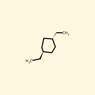 CC[C@H]1CC[C@H](CC)CC1